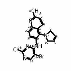 Cc1ccc2c(N3CC=CC3)c(Nc3nc(Cl)ncc3Br)ccc2n1